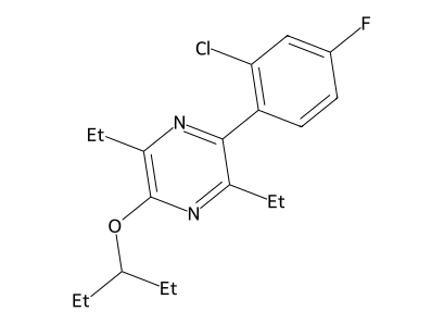 CCc1nc(-c2ccc(F)cc2Cl)c(CC)nc1OC(CC)CC